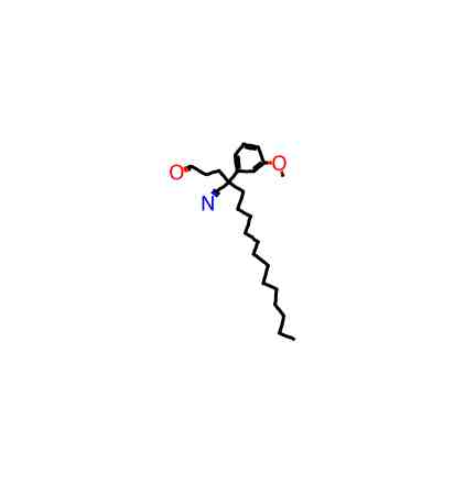 CCCCCCCCCCCCCC(C#N)(CCC=O)c1cccc(OC)c1